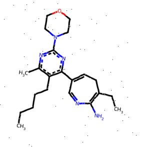 CCCCCc1c(C)nc(N2CCOCC2)nc1C1=CCC(CC)=C(N)N=C1